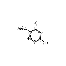 CCc1cnc(OC)c(Cl)c1